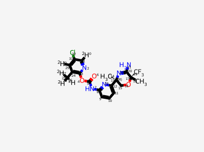 [2H]c1nc(OC(=O)Nc2cccc([C@]3(C)CO[C@@](C)(C(F)(F)F)C(N)=N3)n2)c(C([2H])([2H])[2H])c([2H])c1Cl